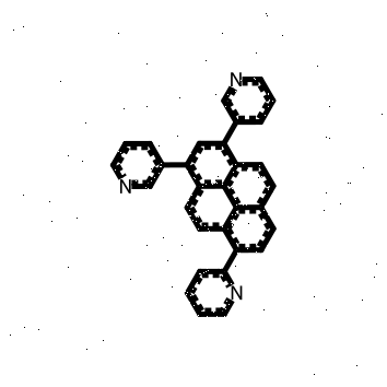 c1ccc(-c2ccc3ccc4c(-c5cccnc5)cc(-c5cccnc5)c5ccc2c3c45)nc1